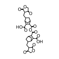 O=C1COC(=O)C1CC1CC2CC1C(C(=O)O)C2C(=O)OC(=O)C1C2CC(CC3C(=O)COC3=O)C(C2)C1C(=O)O